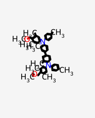 COCc1c(C)cc(N(c2ccc(C)cc2)c2ccc(-c3ccc(N(c4ccc(C)cc4)c4cc(C)c(COC)c(C)c4)c(C)c3)cc2C)cc1C